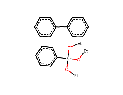 CCO[Si](OCC)(OCC)c1ccccc1.c1ccc(-c2ccccc2)cc1